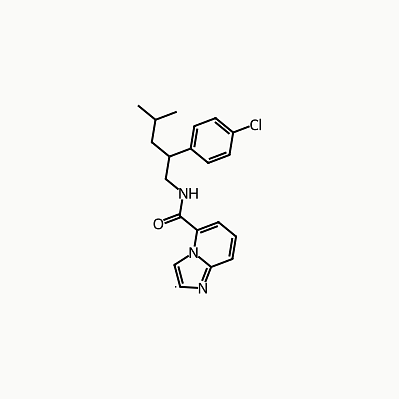 CC(C)CC(CNC(=O)c1cccc2n[c]cn12)c1ccc(Cl)cc1